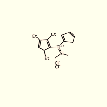 CCC1=CC(CC)[C]([Ti+2]([C]2=CC=CC2)=[Si](C)C)=C1CC.[Cl-].[Cl-]